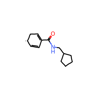 O=C(NCC1CCCC1)C1=CC[CH]C=C1